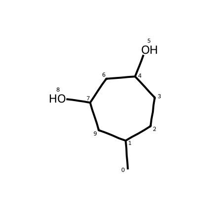 CC1CCC(O)CC(O)C1